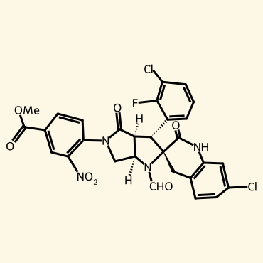 COC(=O)c1ccc(N2C[C@H]3[C@@H](C2=O)[C@H](c2cccc(Cl)c2F)[C@@]2(Cc4ccc(Cl)cc4NC2=O)N3C=O)c([N+](=O)[O-])c1